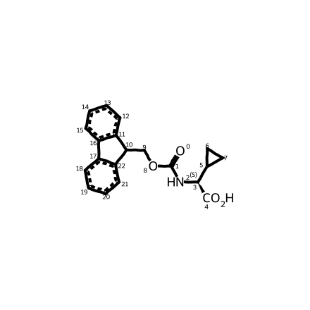 O=C(N[C@H](C(=O)O)C1CC1)OCC1c2ccccc2-c2ccccc21